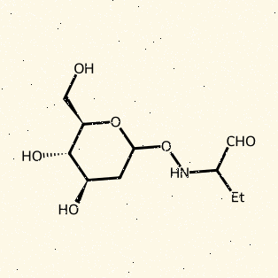 CCC(C=O)NOC1C[C@@H](O)[C@H](O)[C@@H](CO)O1